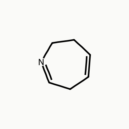 C1=CCCN=CC1